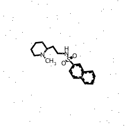 CN1CCCCC1CCNS(=O)(=O)c1ccc2ccccc2c1